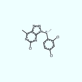 Cc1nc(Cl)nc2c1nnn2[C@H](C)c1ccc(Cl)cc1Cl